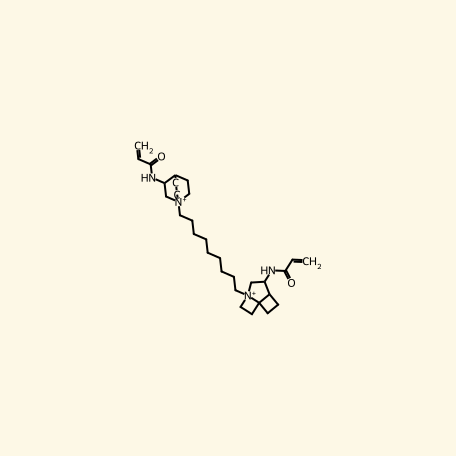 C=CC(=O)NC1C[N+]2(CCCCCCCCC[N+]34CCC35CCC5C(NC(=O)C=C)C4)CCC1CC2